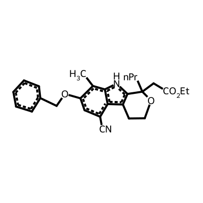 CCCC1(CC(=O)OCC)OCCc2c1[nH]c1c(C)c(OCc3ccccc3)cc(C#N)c21